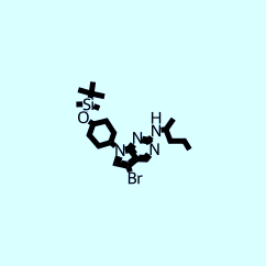 CCCC(C)Nc1ncc2c(Br)cn(C3CCC(O[Si](C)(C)C(C)(C)C)CC3)c2n1